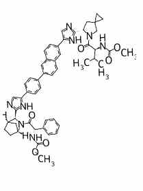 COC(=O)N[C@H](C(=O)N1[C@@H]2CC[C@@H](C2)[C@H]1c1ncc(-c2ccc(-c3ccc4cc(-c5cnc([C@@H]6CC7(CC7)CN6C(=O)[C@@H](NC(=O)OC)C(C)C)[nH]5)ccc4c3)cc2)[nH]1)c1ccccc1